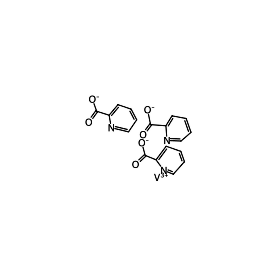 O=C([O-])c1ccccn1.O=C([O-])c1ccccn1.O=C([O-])c1ccccn1.[V+3]